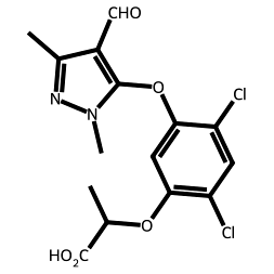 Cc1nn(C)c(Oc2cc(OC(C)C(=O)O)c(Cl)cc2Cl)c1C=O